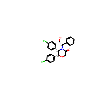 O=C1CO[C@H](c2ccc(Cl)cc2)[C@H](c2ccc(Cl)cc2)N1[C@H](CO)c1ccccc1